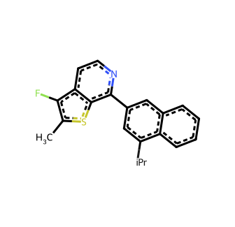 Cc1sc2c(-c3cc(C(C)C)c4ccccc4c3)nccc2c1F